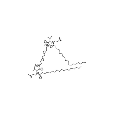 CCCCCCCCCCCCCCCCCC(=O)N(CCN(C)C)C(C(=O)NCCOCCOCCNC(=O)C(C(C)C)N(CCN(C)C)C(=O)CCCCCCCCCCCCCCCCC)C(C)C